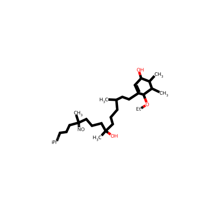 CCOC1C(CCC(C)CCCC(C)(O)CCCC(C)(CCCC(C)C)N=O)=CC(O)C(C)C1C